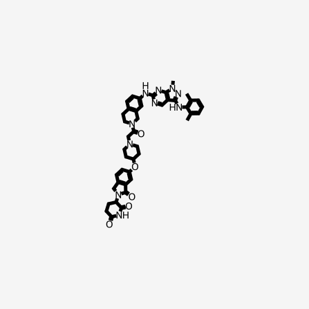 Cc1cccc(C)c1Nc1nn(C)c2nc(Nc3ccc4c(c3)CN(C(=O)CN3CCC(Oc5ccc6c(c5)C(=O)N(C5CCC(=O)NC5=O)C6)CC3)CC4)ncc12